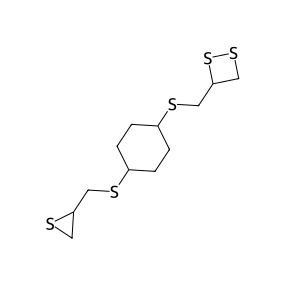 C1CC(SCC2CSS2)CCC1SCC1CS1